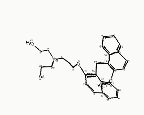 COc1ccc2ccccc2c1Cc1c(OCCN(CCO)CCO)ccc2ccccc12